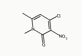 Cc1cc(Cl)c([N+](=O)[O-])c(=O)n1C